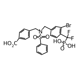 O=C(O)c1ccc(CN(Cc2ccc(C(F)(F)P(=O)(O)O)c(Br)c2)S(=O)(=O)c2ccccc2)cc1